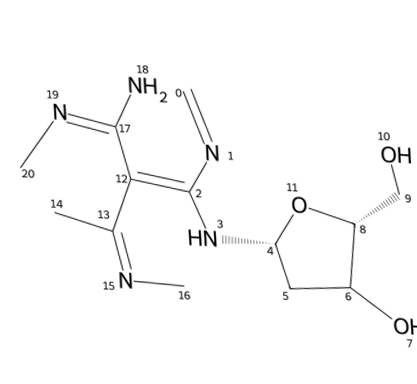 C=N/C(N[C@H]1CC(O)[C@@H](CO)O1)=C(C(/C)=N\C)\C(N)=N/C